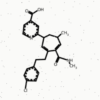 CNC(=O)C1=CC(C)CC(c2cc(C(=O)O)ccn2)C=C1CCc1ccc(Cl)cc1